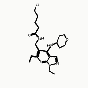 CCc1nc2c(cnn2CC)c(NC2CCOCC2)c1CNC(=O)CCCCCl